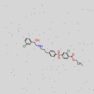 CCOC(=O)c1ccc(S(=O)(=O)c2ccc(CCCNC[C@@H](O)c3cccc(Cl)c3)cc2)cc1Cl